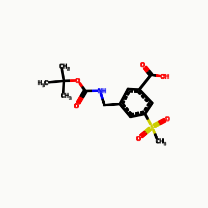 CC(C)(C)OC(=O)NCc1cc(C(=O)O)cc(S(C)(=O)=O)c1